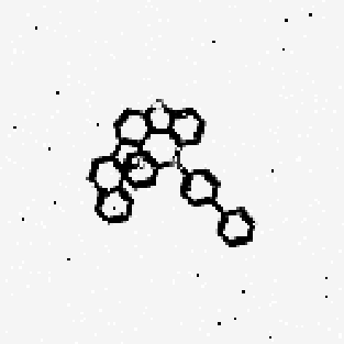 c1ccc(-c2ccc(N(c3ccccc3)c3cccc4oc5ccc6c7ccc8ccccc8c7oc6c5c34)cc2)cc1